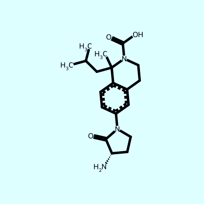 CC(C)CC1(C)c2ccc(N3CC[C@H](N)C3=O)cc2CCN1C(=O)O